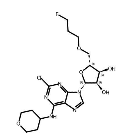 O[C@@H]1[C@H](O)[C@@H](COCCCF)O[C@H]1n1cnc2c(NC3CCOCC3)nc(Cl)nc21